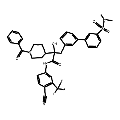 CN(C)S(=O)(=O)c1cccc(-c2cccc(CC(O)(C(=O)Nc3ccc(C#N)c(C(F)(F)F)c3)C3CCN(C(=O)c4ccccc4)CC3)c2)c1